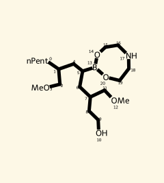 CCCCCC(COC)CC(CC(CCO)COC)B1OCCNCCO1